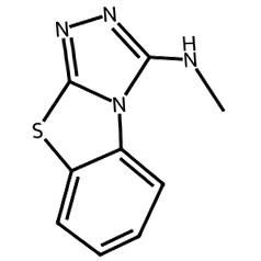 CNc1nnc2sc3ccccc3n12